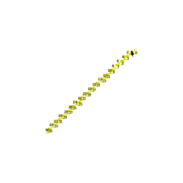 S=C=S=S=S=S=S=S=S=S=S=S=S=S=S=S=S=S=S=S=S=S=S=S=S=S=S=S=S=S=S=S=S=S=S=S=S